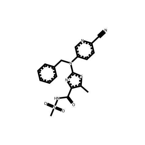 Cc1sc(N(Cc2ccccc2)c2ccc(C#N)nc2)nc1C(=O)NS(C)(=O)=O